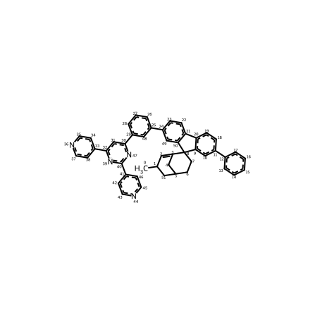 CC1C=C2CC(CCC23c2cc(-c4ccccc4)ccc2-c2ccc(-c4cccc(-c5cc(-c6ccncc6)nc(-c6ccncc6)n5)c4)cc23)C1